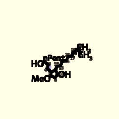 CCCCCC(O)/C=C/C1C(OC)CC(O)C1CCCCCC=CN(C)C